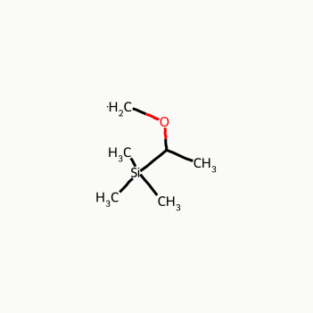 [CH2]OC(C)[Si](C)(C)C